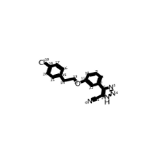 N#Cc1[nH]nnc1-c1cccc(OCCc2ccc(Cl)cc2)c1